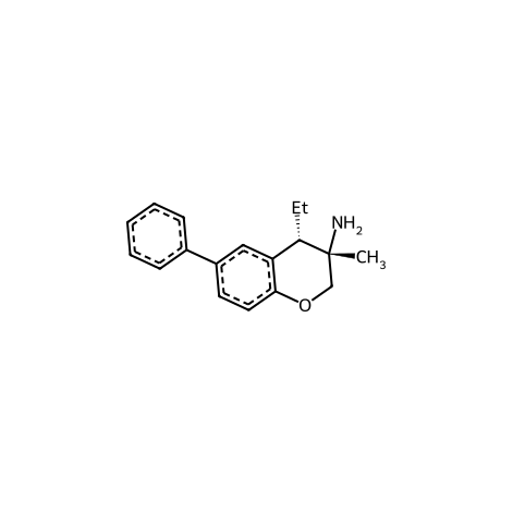 CC[C@H]1c2cc(-c3ccccc3)ccc2OC[C@@]1(C)N